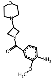 COc1cc(C(=O)N2CC(N3CCOCC3)C2)ccc1N